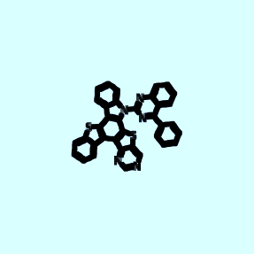 c1ccc(-c2nc(-n3c4ccccc4c4c5sc6ccccc6c5c5c6ncncc6sc5c43)nc3ccccc23)cc1